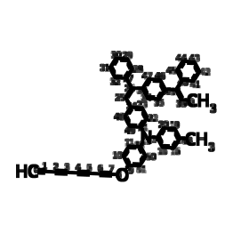 C#CC#CC#CC#COc1ccc(N(c2ccc(C)cc2)c2ccc(C=C(c3ccccc3)c3ccc(C(=CC)c4ccccc4)cc3)cc2)cc1